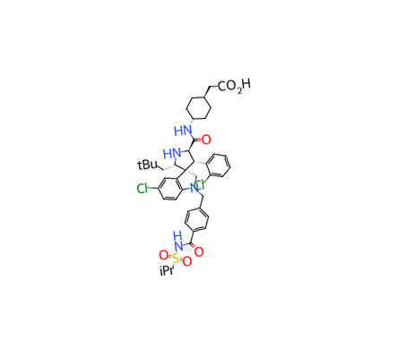 CC(C)S(=O)(=O)NC(=O)c1ccc(CN2C[C@]3(c4cc(Cl)ccc42)[C@H](CC(C)(C)C)N[C@@H](C(=O)N[C@H]2CC[C@H](CC(=O)O)CC2)[C@@H]3c2ccccc2Cl)cc1